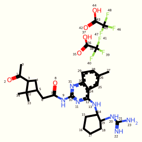 CC(=O)C1CC(CC(=O)Nc2nc(NC3CCCCC3NC(=N)N)c3cc(C)ccc3n2)C1(C)C.O=C(O)C(F)(F)F.O=C(O)C(F)(F)F